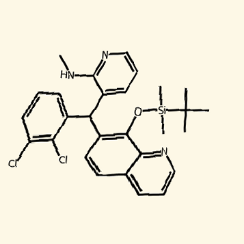 CNc1ncccc1C(c1cccc(Cl)c1Cl)c1ccc2cccnc2c1O[Si](C)(C)C(C)(C)C